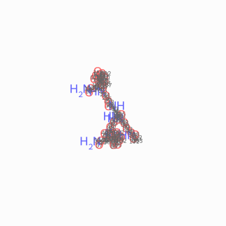 COC(=O)[C@H]1O[C@@H](Oc2ccc(COC(N)=O)cc2C(=O)NCCOCCOCC(=O)NCCCC[C@H](NC(=O)COCCOCCNC(=O)c2cc(COC(N)=O)ccc2O[C@@H]2O[C@H](C(=O)OC)[C@@H](OC(C)=O)[C@H](OC(C)=O)[C@H]2OC(C)=O)C(=O)NCCOCCOCCONC(=O)OC(C)(C)C)[C@H](OC(C)=O)[C@@H](OC(C)=O)[C@@H]1OC(C)=O